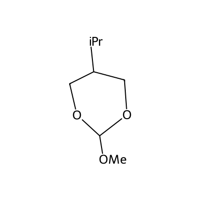 COC1OCC(C(C)C)CO1